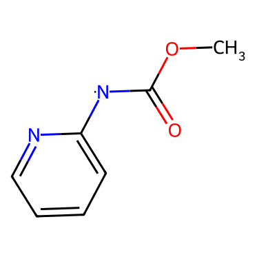 COC(=O)[N]c1ccccn1